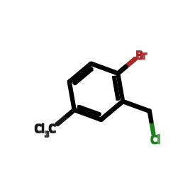 ClCc1cc(C(Cl)(Cl)Cl)ccc1Br